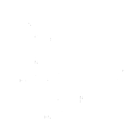 C=CC12CC(C=N)=C(Nc3ccc(F)cc3)C=C1CCN(Sc1ccnn1C)C2